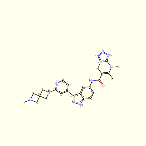 CC1=C(C(=O)Nc2ccc3[nH]nc(-c4ccnc(N5CC6(CN(C)C6)C5)c4)c3c2)Cn2nnnc2N1C